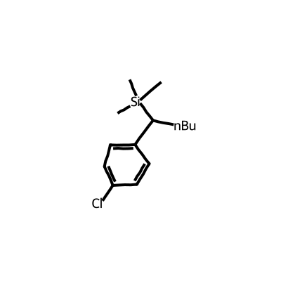 CCCCC(c1ccc(Cl)cc1)[Si](C)(C)C